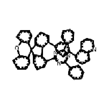 c1ccc(-c2nc(-c3ccccc3)nc(-c3cccc4c3-c3c(-c5ccc(-c6cccc7ncccc67)cc5)cccc3C43c4ccccc4Oc4ccccc43)n2)cc1